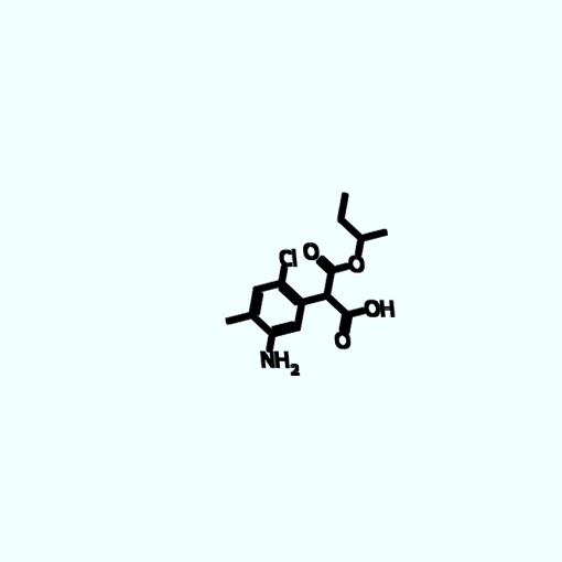 CCC(C)OC(=O)C(C(=O)O)c1cc(N)c(C)cc1Cl